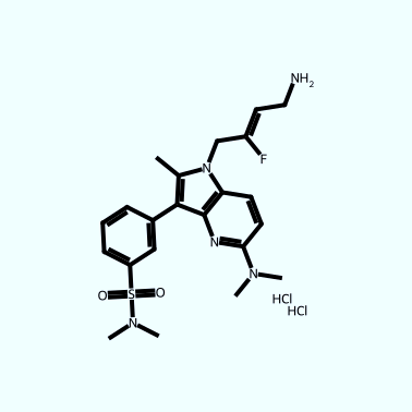 Cc1c(-c2cccc(S(=O)(=O)N(C)C)c2)c2nc(N(C)C)ccc2n1CC(F)=CCN.Cl.Cl